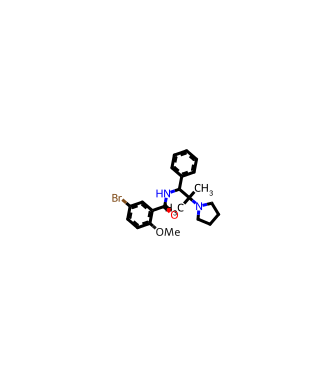 COc1ccc(Br)cc1C(=O)NC(c1ccccc1)C(C)(C)N1CCCC1